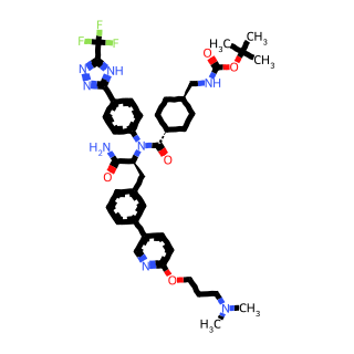 CN(C)CCCOc1ccc(-c2cccc(C[C@@H](C(N)=O)N(c3ccc(-c4nnc(C(F)(F)F)[nH]4)cc3)C(=O)[C@H]3CC[C@H](CNC(=O)OC(C)(C)C)CC3)c2)cn1